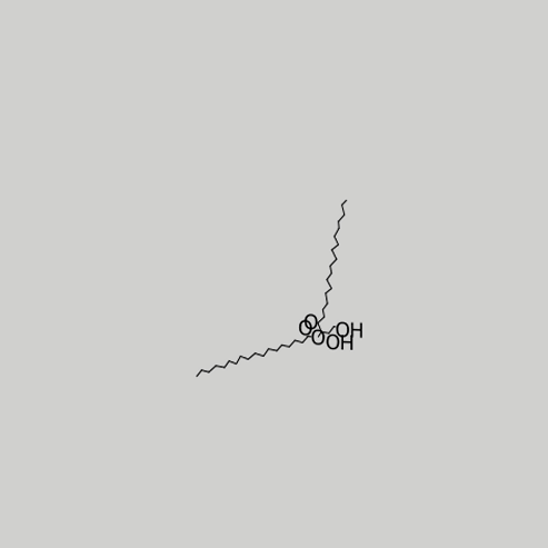 CCCCCCCCCCCCCCCCCC(=O)OC(C(=O)CCCCCCCCCCCCCCCCC)C(O)CO